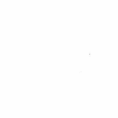 N#Cc1c(O)ccc2cc(-c3ccc(O)cc3)ccc12